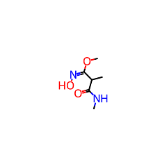 CNC(=O)C(C)/C(=N\O)OC